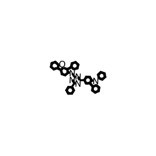 c1ccc(-c2nc(-c3ccc4c(c3)c3ccccc3n4-c3ccccc3)nc(-n3c4ccccc4c4c5oc6ccccc6c5ccc43)n2)cc1